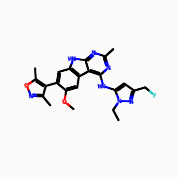 CCn1nc(CF)cc1Nc1nc(C)nc2[nH]c3cc(-c4c(C)noc4C)c(OC)cc3c12